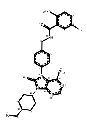 COc1ccc(F)cc1C(=O)NCc1ccc(-n2c(=O)n([C@H]3CC[C@H](CO)CC3)c3ncnc(N)c32)cc1